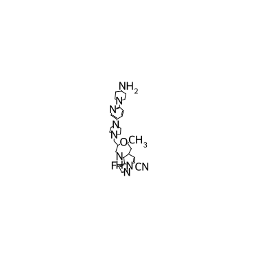 CC1CC2C=C(C#N)n3ncc(F)c3C2NCC(CN2CCN(c3ccc(N4CCC(N)CC4)nc3)CC2)O1